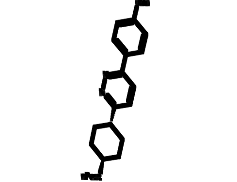 CCCCC[C@H]1CC[C@H](c2ccc(-c3ccc(CCCC)cc3)nn2)CC1